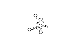 C=C(C)C[C@@H](C(=O)N1C(=O)OC[C@H]1Cc1ccccc1)c1cc(OCc2ccccc2)cc(-c2ccccc2)c1